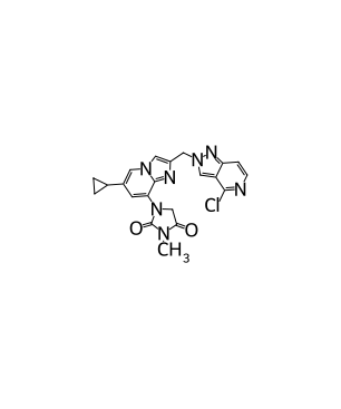 CN1C(=O)CN(c2cc(C3CC3)cn3cc(Cn4cc5c(Cl)nccc5n4)nc23)C1=O